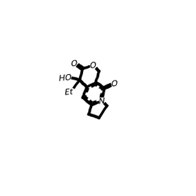 CCC1(O)C(=O)OCc2c1cc1n(c2=O)CCC1